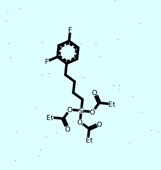 CCC(=O)O[Si](CCCCc1ccc(F)cc1F)(OC(=O)CC)OC(=O)CC